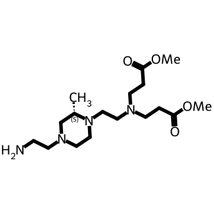 COC(=O)CCN(CCC(=O)OC)CCN1CCN(CCN)C[C@@H]1C